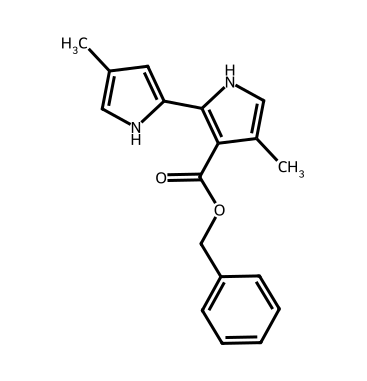 Cc1c[nH]c(-c2[nH]cc(C)c2C(=O)OCc2ccccc2)c1